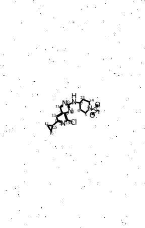 CS(=O)(=O)N1CCC(Nc2ncc3cc(C4CC4)nc(Cl)c3n2)CC1